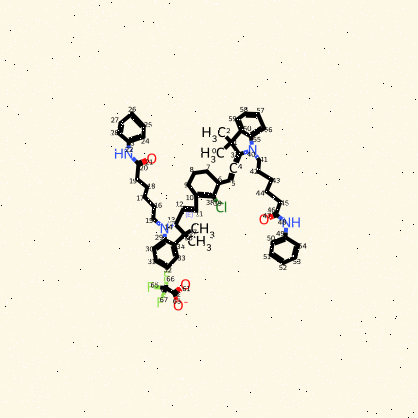 CC1(C)C(=C=CC2CCCC(/C=C/C3=[N+](CCCCCC(=O)Nc4ccccc4)c4ccccc4C3(C)C)=C2Cl)N(CCCCCC(=O)Nc2ccccc2)c2ccccc21.O=C([O-])C(F)(F)F